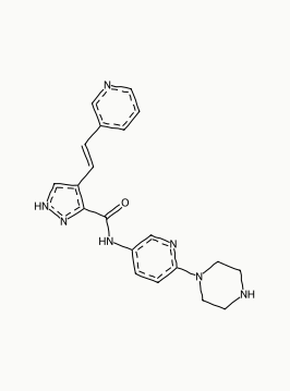 O=C(Nc1ccc(N2CCNCC2)nc1)c1n[nH]cc1C=Cc1cccnc1